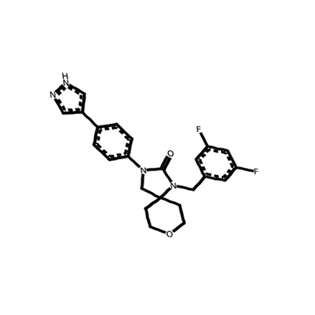 O=C1N(c2ccc(-c3cn[nH]c3)cc2)CC2(CCOCC2)N1Cc1cc(F)cc(F)c1